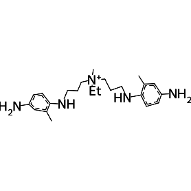 CC[N+](C)(CCCNc1ccc(N)cc1C)CCCNc1ccc(N)cc1C